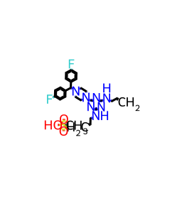 C=CCNc1nc(NCC=C)nc(N2CCN(C(c3ccc(F)cc3)c3ccc(F)cc3)CC2)n1.CS(=O)(=O)O